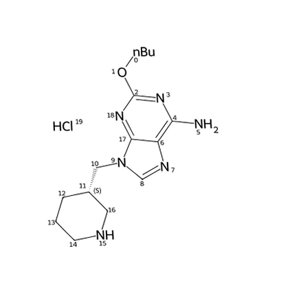 CCCCOc1nc(N)c2ncn(C[C@H]3CCCNC3)c2n1.Cl